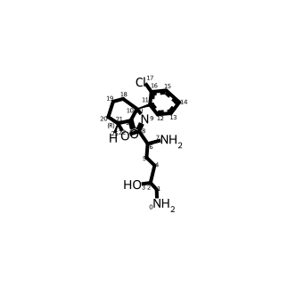 NCC(O)CCC(N)C1=N[C@@]2(c3ccccc3Cl)CCC[C@@H](O1)C2=O